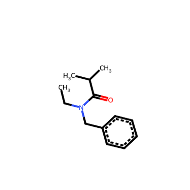 CCN(Cc1ccccc1)C(=O)C(C)C